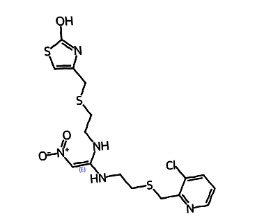 O=[N+]([O-])/C=C(\NCCSCc1csc(O)n1)NCCSCc1ncccc1Cl